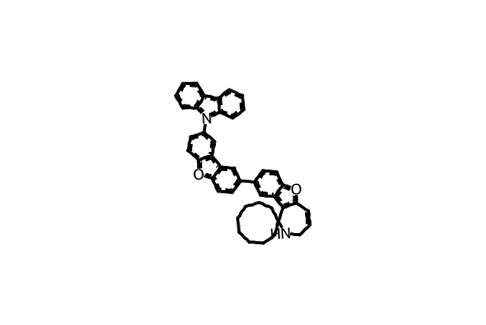 C1=Cc2oc3ccc(-c4ccc5oc6ccc(-n7c8ccccc8c8ccccc87)cc6c5c4)cc3c2C2(CCCCCCCC2)NC1